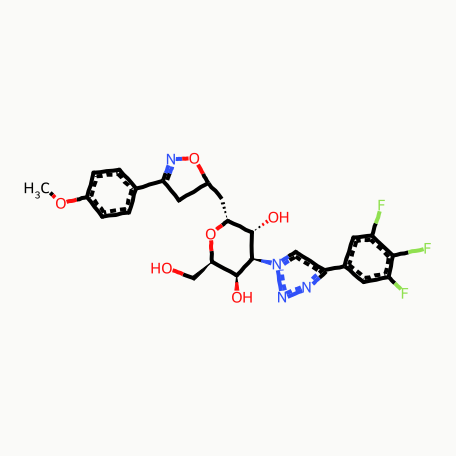 COc1ccc(C2=NOC(C[C@H]3O[C@H](CO)[C@H](O)[C@H](n4cc(-c5cc(F)c(F)c(F)c5)nn4)[C@H]3O)C2)cc1